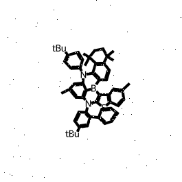 Cc1cc2c3c(c1)N(c1ccc(C(C)(C)C)cc1)c1c(ccc4c1C(C)(C)CCC4(C)C)B3c1c(sc3ccc(C)cc13)N2c1ccc(C(C)(C)C)cc1-c1ccccc1